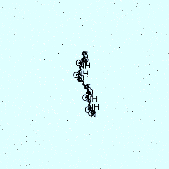 O=C(NCCCNC(=O)c1ccno1)c1cc(-c2cc(CCc3ccc(C(=O)NCCCNC(=O)c4cc(-c5cccs5)on4)o3)cs2)on1